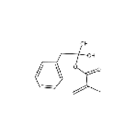 C=C(C)C(=O)OC(O)(O)Cc1ccccc1